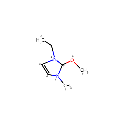 CCN1C=CN(C)C1OC